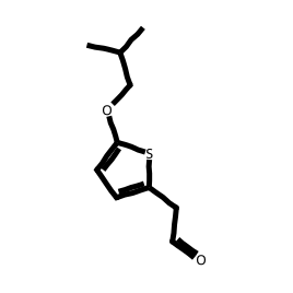 CC(C)COc1ccc(CC=O)s1